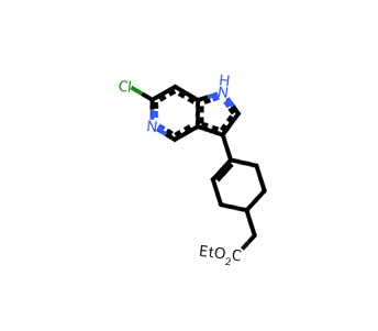 CCOC(=O)CC1CC=C(c2c[nH]c3cc(Cl)ncc23)CC1